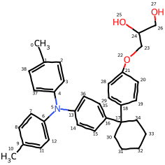 Cc1ccc(N(c2ccc(C)cc2)c2ccc(C3(c4ccc(OCC(O)CO)cc4)CCCCC3)cc2)cc1